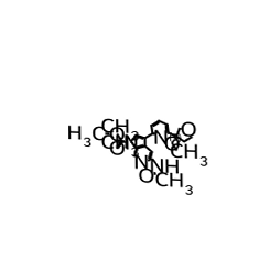 CO[C@]1(c2cccc(-c3cn(C(=O)OC(C)(C)C)c4cnc(NC(C)=O)cc34)n2)CCOC1